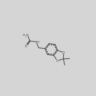 CC1(C)Oc2ccc(CNC(N)=O)cc2O1